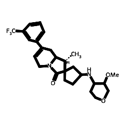 COC1COCCC1NC1CCC2(C1)C(=O)N1CC=C(c3cccc(C(F)(F)F)c3)CC1[C@@H]2C